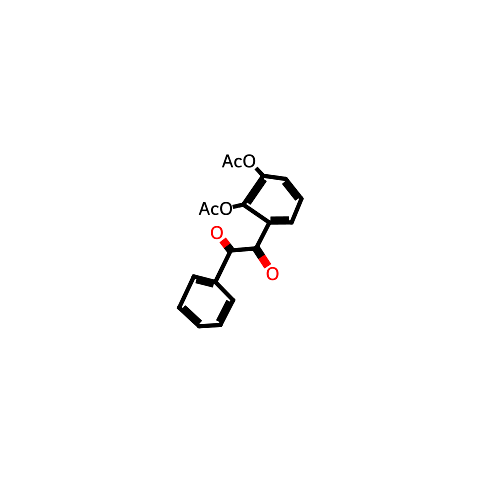 CC(=O)Oc1cccc(C(=O)C(=O)c2ccccc2)c1OC(C)=O